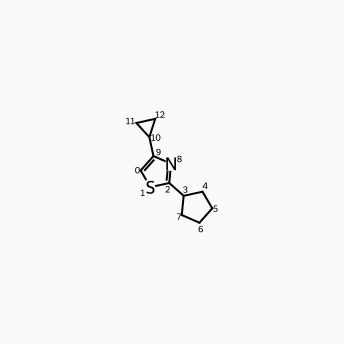 c1sc(C2CCCC2)nc1C1CC1